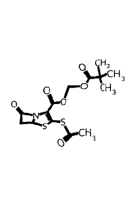 CC(=O)SC1=C(C(=O)OCOC(=O)C(C)(C)C)N2C(=O)CC2S1